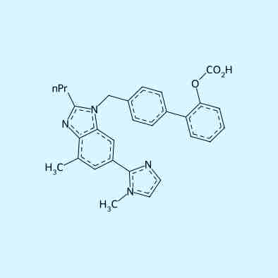 CCCc1nc2c(C)cc(-c3nccn3C)cc2n1Cc1ccc(-c2ccccc2OC(=O)O)cc1